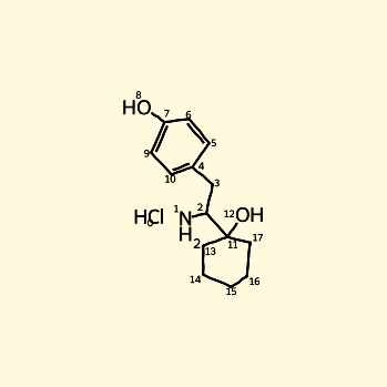 Cl.NC(Cc1ccc(O)cc1)C1(O)CCCCC1